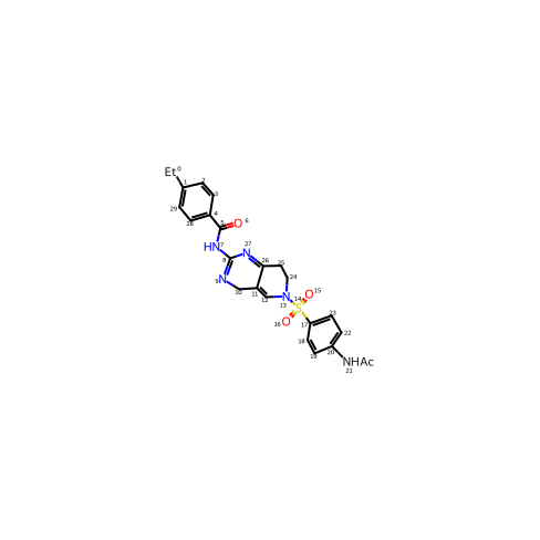 CCc1ccc(C(=O)NC2=NCC3=CN(S(=O)(=O)c4ccc(NC(C)=O)cc4)CCC3=N2)cc1